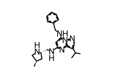 CC(C)c1cnn2c(NCc3ccccc3)cc(NC[C@@H]3C[C@@H](C)CN3)nc12